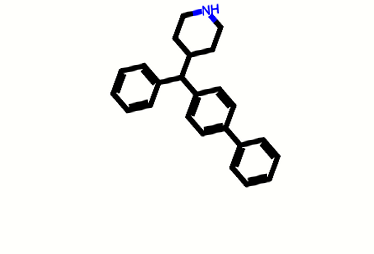 c1ccc(-c2ccc(C(c3ccccc3)C3CCNCC3)cc2)cc1